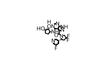 O=C(c1n[nH]c2ncnc(N[C@@H]3CC[C@@H](O)[C@H]3O)c12)N1CC(F)(F)C[C@@H]1c1cncc(F)c1